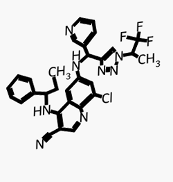 CCC(Nc1c(C#N)cnc2c(Cl)cc(NC(c3cccnc3)c3cn(C(C)C(F)(F)F)nn3)cc12)c1ccccc1